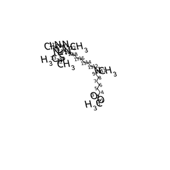 COC(=O)CCCCCCN(C)CCCCCCCCn1c(C)nc2nc(Cl)nc(SC(C)C)c21